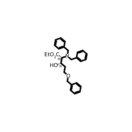 CCOC(=O)[C@@H]([C@@H](O)CCOCc1ccccc1)N(Cc1ccccc1)Cc1ccccc1